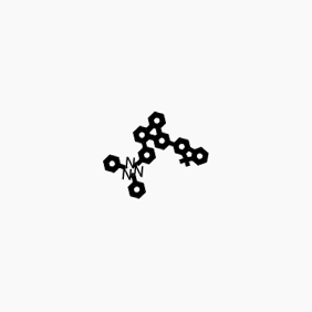 CC1(C)c2ccccc2-c2ccc(-c3ccc4c(c3)c3ccccc3c3cccc(-c5cccc(-c6nc(-c7ccccc7)nc(-c7ccccc7)n6)c5)c34)cc21